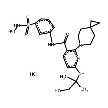 CC(C)(C)NS(=O)(=O)c1cccc(NC(=O)c2ccc(NC(C)(C)CO)nc2N2CCC3(CC2)CC3)c1.Cl